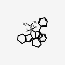 C[SiH](C)[Ti]([Cl])([Cl])([CH]1C(c2ccccc2)=CC2=C1CCCC2)[CH]1C(c2ccccc2)=CC2=C1CCCC2